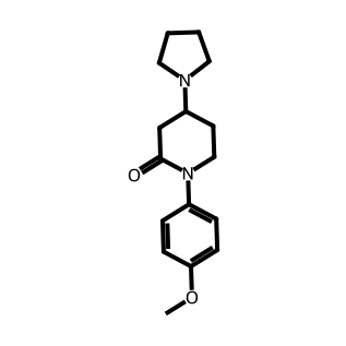 COc1ccc(N2CCC(N3CCCC3)CC2=O)cc1